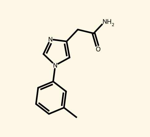 Cc1cccc(-n2cnc(CC(N)=O)c2)c1